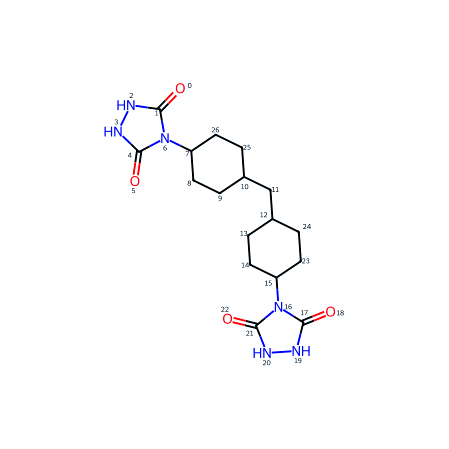 O=c1[nH][nH]c(=O)n1C1CCC(CC2CCC(n3c(=O)[nH][nH]c3=O)CC2)CC1